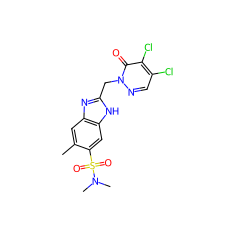 Cc1cc2nc(Cn3ncc(Cl)c(Cl)c3=O)[nH]c2cc1S(=O)(=O)N(C)C